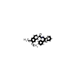 COc1cc2c(cc1OC)CN(C(=O)/C=C/c1c(-c3ccccc3)nc3cccnn13)CC2